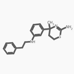 CC1(c2cccc(NCCc3ccccc3)c2)CCSC(N)=N1